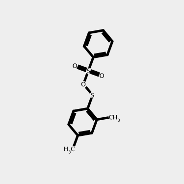 Cc1ccc(SOS(=O)(=O)c2ccccc2)c(C)c1